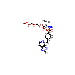 CCOCCOCCOC(=O)[C@H](CC(C)C)NS(=O)(=O)c1ccc(Cc2nccc3nc(C)[nH]c23)cc1